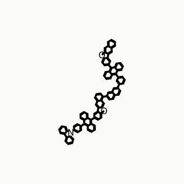 c1cc(-c2ccc3ccc(-c4cccc5cc6c(cc45)oc4ccc(-c5c7ccccc7c(-c7ccc(-n8c9ccccc9c9ccccc98)cc7)c7ccccc57)cc46)cc3c2)cc(-c2c3ccccc3c(-c3ccc4oc5cc6ccccc6cc5c4c3)c3ccccc23)c1